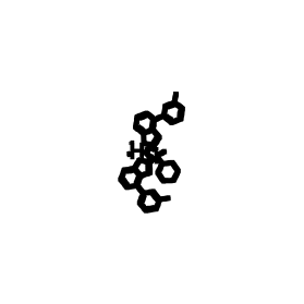 Cc1cccc(-c2cccc3c2C=C2[CH]3[Hf]([CH3])([CH3])[CH]3C(=Cc4c(-c5cccc(C)c5)cccc43)[Si]2(C)C2CCCCC2)c1